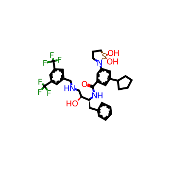 O=C(N[C@@H](Cc1ccccc1)[C@@H](O)CNCc1cc(C(F)(F)F)cc(C(F)(F)F)c1)c1cc(C2CCCC2)cc(N2CCCS2(O)O)c1